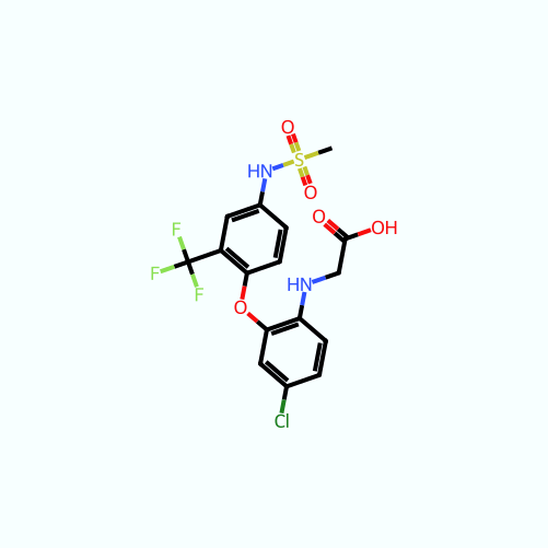 CS(=O)(=O)Nc1ccc(Oc2cc(Cl)ccc2NCC(=O)O)c(C(F)(F)F)c1